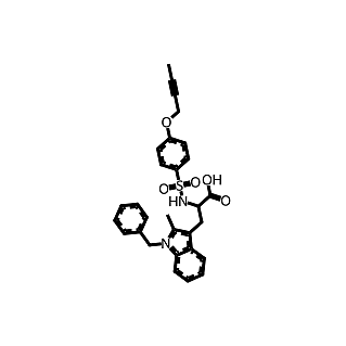 CC#CCOc1ccc(S(=O)(=O)NC(Cc2c(C)n(Cc3ccccc3)c3ccccc23)C(=O)O)cc1